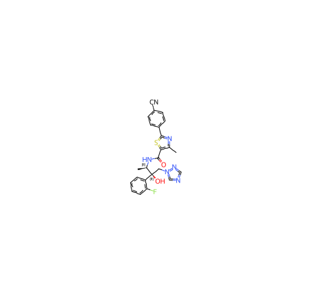 Cc1nc(-c2ccc(C#N)cc2)sc1C(=O)N[C@H](C)[C@](O)(Cn1cncn1)c1ccccc1F